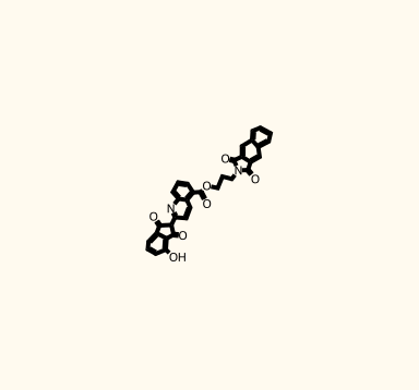 O=C(OCCCN1C(=O)c2cc3ccccc3cc2C1=O)c1cccc2nc(C3C(=O)c4cccc(O)c4C3=O)ccc12